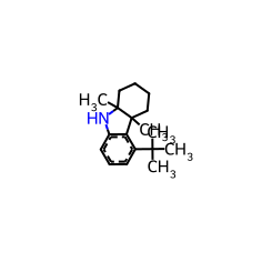 CC(C)(C)c1cccc2c1C1(C)CCCCC1(C)N2